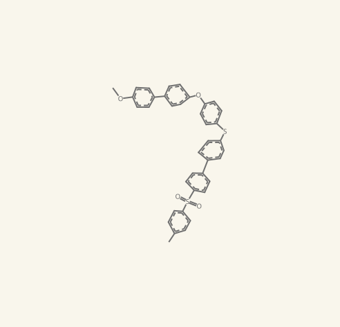 COc1ccc(-c2ccc(Oc3ccc(Sc4ccc(-c5ccc(S(=O)(=O)c6ccc(C)cc6)cc5)cc4)cc3)cc2)cc1